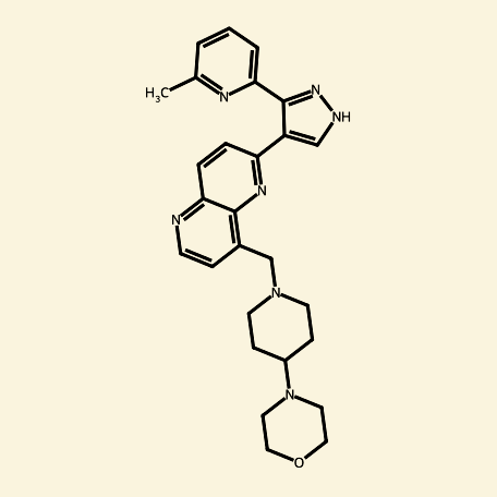 Cc1cccc(-c2n[nH]cc2-c2ccc3nccc(CN4CCC(N5CCOCC5)CC4)c3n2)n1